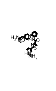 C=C/C(=C\NN)c1nc(C(=O)Nc2ccccc2N2CCC(O)(CC(N)=O)CC2)cs1